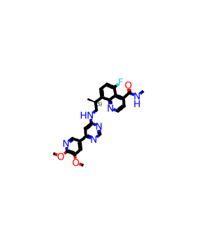 CNC(=O)c1ccnc2c([C@H](C)CNc3cc(-c4cnc(OC)c(OC)c4)ncn3)ccc(F)c12